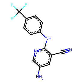 N#Cc1cc(N)cnc1Nc1ccc(C(F)(F)F)cc1